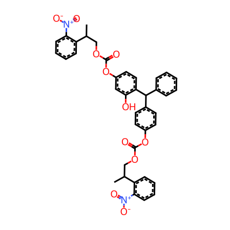 CC(COC(=O)Oc1ccc(C(c2ccccc2)c2ccc(OC(=O)OCC(C)c3ccccc3[N+](=O)[O-])cc2O)cc1)c1ccccc1[N+](=O)[O-]